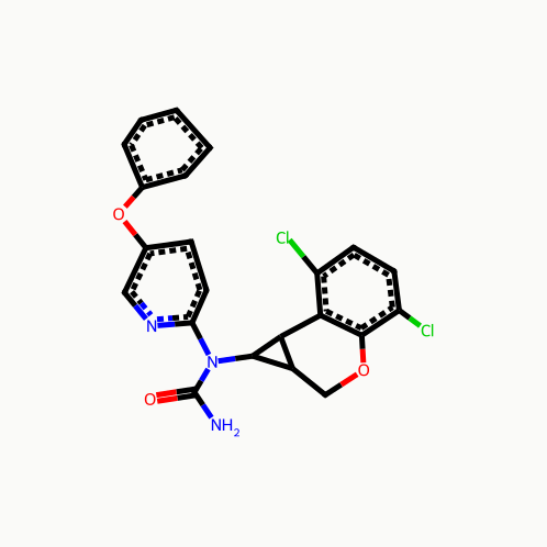 NC(=O)N(c1ccc(Oc2ccccc2)cn1)C1C2COc3c(Cl)ccc(Cl)c3C21